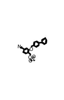 CS(=O)(=O)OCc1ccc(C#N)cc1OCc1ccc(-c2ccccc2)cc1